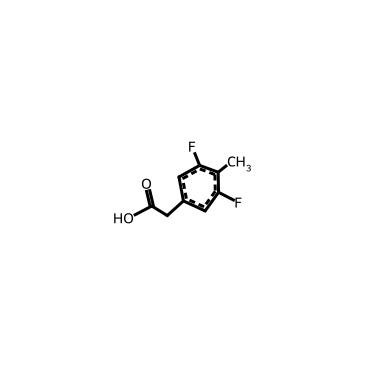 Cc1c(F)cc(CC(=O)O)cc1F